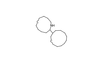 C1CCCCCC(C2CCCCCCCCCN2)CCCCC1